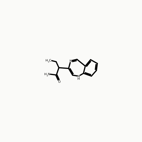 CCC(C(N)=O)C1=CNc2ccccc2C=N1